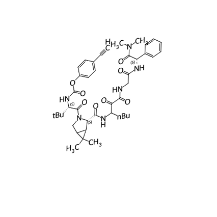 C#Cc1ccc(OC(=O)N[C@H](C(=O)N2CC3C([C@H]2C(=O)NC(CCCC)C(=O)C(=O)NCC(=O)N[C@H](C(=O)N(C)C)c2ccccc2)C3(C)C)C(C)(C)C)cc1